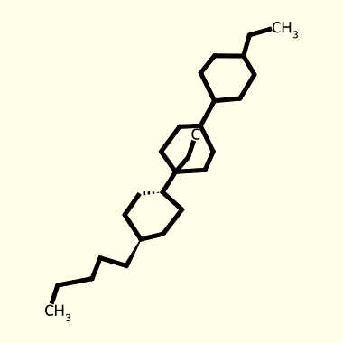 CCCCC[C@H]1CC[C@H](C23CCC(C4CCC(CC)CC4)(CC2)CC3)CC1